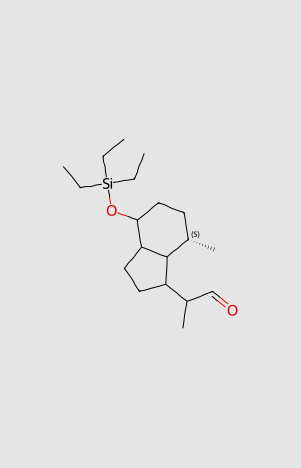 CC[Si](CC)(CC)OC1CC[C@H](C)C2C(C(C)C=O)CCC12